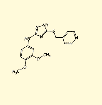 COc1ccc(Nc2n[nH]c(SCc3ccncc3)n2)cc1OC